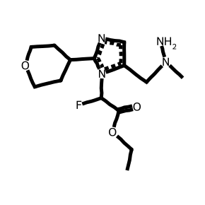 CCOC(=O)C(F)n1c(CN(C)N)cnc1C1CCOCC1